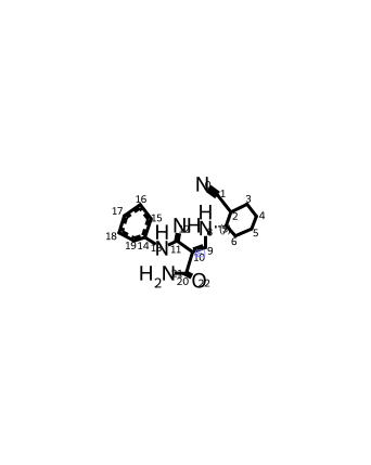 N#CC1CCCC[C@@H]1N/C=C(\C(=N)Nc1ccccc1)C(N)=O